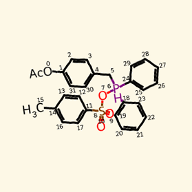 CC(=O)Oc1ccc(C[PH](OS(=O)(=O)c2ccc(C)cc2)(c2ccccc2)c2ccccc2)cc1